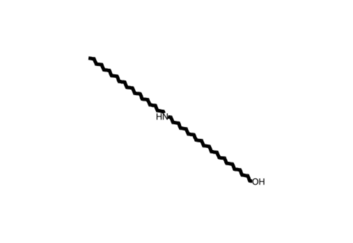 CCCCCCCCCCCCCCCCCCCCNCCCCCCCCCCCCCCCCCCCCCCO